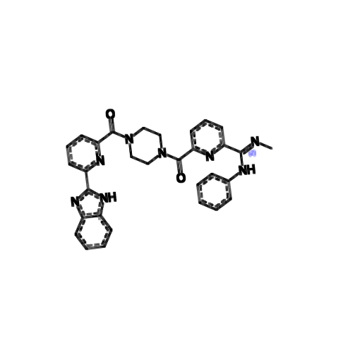 C/N=C(\Nc1ccccc1)c1cccc(C(=O)N2CCN(C(=O)c3cccc(-c4nc5ccccc5[nH]4)n3)CC2)n1